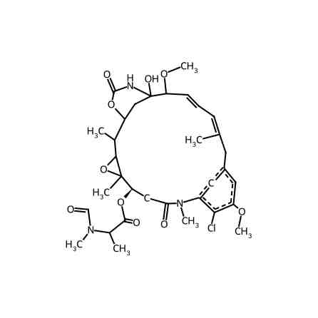 COc1cc2cc(c1Cl)N(C)C(=O)C[C@@H](OC(=O)C(C)N(C)C=O)C1(C)OC1C(C)C1CC(O)(NC(=O)O1)C(OC)/C=C/C=C(\C)C2